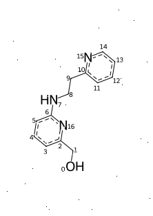 OCc1cccc(NCCc2ccccn2)n1